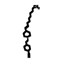 CCCCCCCC/C=C/[C@H]1CC[C@H](CCC2CCC(C#N)CC2)CC1